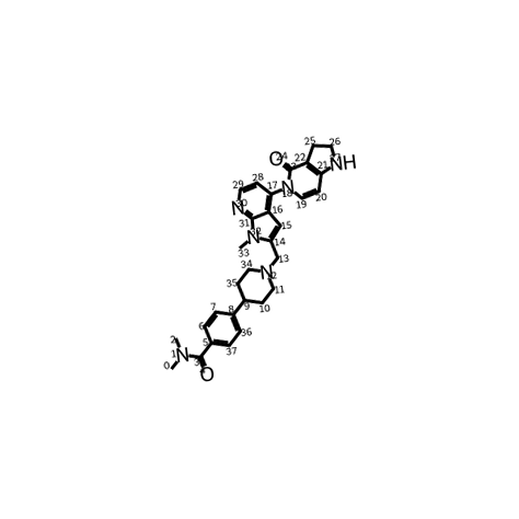 CN(C)C(=O)c1ccc(C2CCN(Cc3cc4c(-n5ccc6c(c5=O)CCN6)ccnc4n3C)CC2)cc1